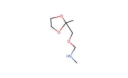 CNCOCC1(C)OCCO1